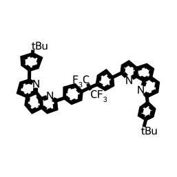 CC(C)(C)c1ccc(-c2ccc3ccc4ccc(-c5ccc(C(c6ccc(-c7ccc8ccc9ccc(-c%10ccc(C(C)(C)C)cc%10)nc9c8n7)cc6)(C(F)(F)F)C(F)(F)F)cc5)nc4c3n2)cc1